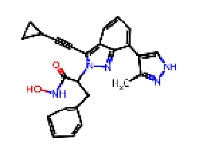 Cc1n[nH]cc1-c1cccc2c(C#CC3CC3)n(C(Cc3ccccc3)C(=O)NO)nc12